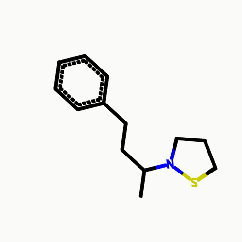 CC(CCc1ccccc1)N1CCCS1